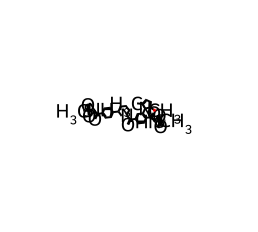 Cc1ccc(C)n1-c1cc(C(=O)N2CCCC(c3ccc(C(=O)NS(C)(=O)=O)cc3)C2)ccc1C(=O)NS(C)(=O)=O